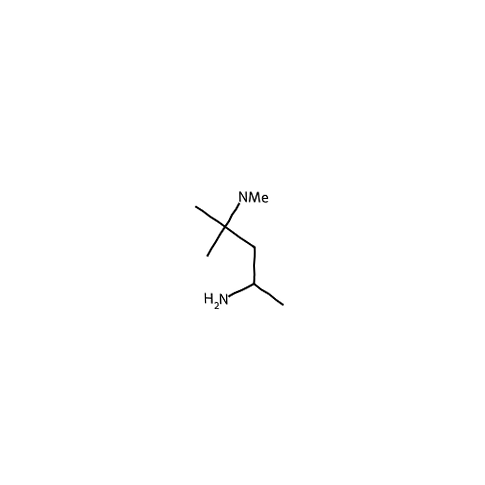 CNC(C)(C)CC(C)N